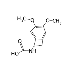 COc1cc2c(cc1OC)C(NC(=O)O)C2